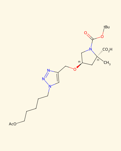 CC(=O)OCCCCCn1cc(CO[C@H]2CN(C(=O)OC(C)(C)C)[C@](C)(C(=O)O)C2)nn1